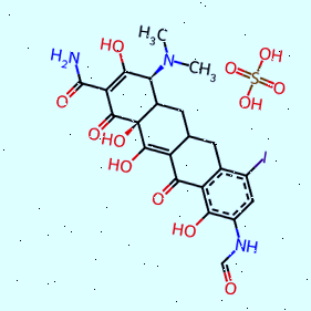 CN(C)[C@@H]1C(O)=C(C(N)=O)C(=O)[C@@]2(O)C(O)=C3C(=O)c4c(O)c(NC=O)cc(I)c4CC3CC12.O=S(=O)(O)O